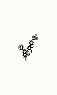 Cc1cc(Nc2nc(-c3cncnc3)cc3cc[nH]c(=O)c23)ccc1C1CCN(CCS(C)(=O)=O)CC1